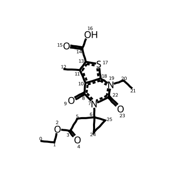 CCOC(=O)CC1(n2c(=O)c3c(C)c(C(=O)O)sc3n(CC)c2=O)CC1